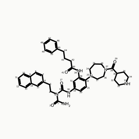 NC(=O)N(CCc1ccc2ccccc2c1)C(=O)Nc1ccc(N2CCCN(C(=O)C3CCNCC3)CC2)c(NC(=O)CCCc2ccccc2)c1